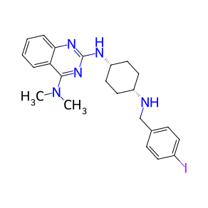 CN(C)c1nc(N[C@H]2CC[C@@H](NCc3ccc(I)cc3)CC2)nc2ccccc12